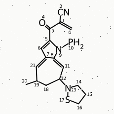 C=C(C#N)C(=O)c1cc2c(n1P)=CC(N1CCCS1)CC(C)C=2